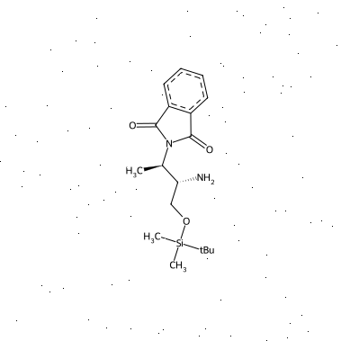 C[C@H]([C@H](N)CO[Si](C)(C)C(C)(C)C)N1C(=O)c2ccccc2C1=O